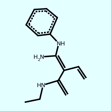 C=C/C(C(=C)NCC)=C(/N)Nc1ccccc1